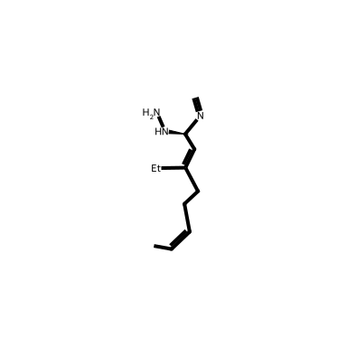 C=N[C@@H](/C=C(\CC)CC/C=C\C)NN